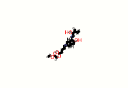 CCOC(=O)[C@@H](C)OC(=O)CCC/C=C1\C[C@H]2CC(O)[C@H](/C=C/[C@@H](O)C(C)CC)[C@H]2C1